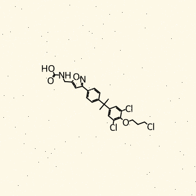 CC(C)(c1ccc(-c2cc(CNC(=O)O)on2)cc1)c1cc(Cl)c(OCCCCl)c(Cl)c1